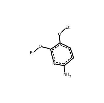 CCOc1ccc(N)nc1OCC